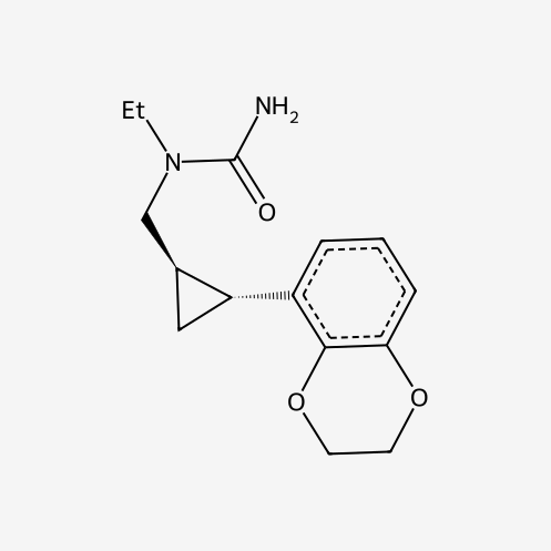 CCN(C[C@@H]1C[C@H]1c1cccc2c1OCCO2)C(N)=O